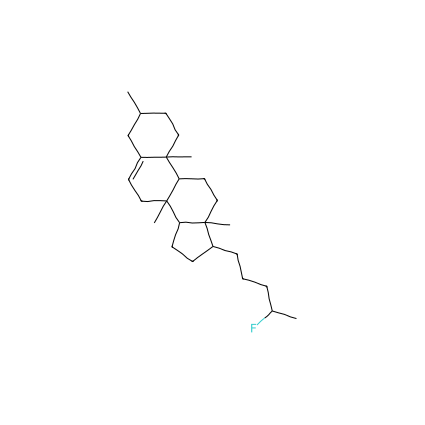 CC(F)CCCC1CCC2C1(C)CCC1C3(C)CCC(C)CC3=CCC12C